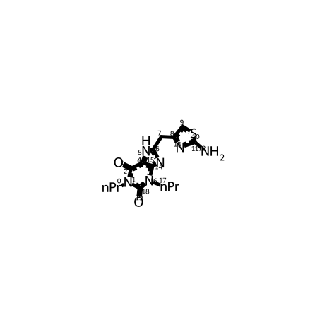 CCCn1c(=O)c2[nH]c(Cc3csc(N)n3)nc2n(CCC)c1=O